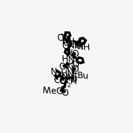 COC(=O)/C=C/CC[C@H](NC(=O)c1ccncc1C(=O)O)C(=O)N[C@H](C(=O)N1CC(=O)C[C@H]1C(=O)N[C@H](C(=O)N1CCC[C@@]1(C)C(=O)N[C@@H](Cc1c[nH]c2ccccc12)C(=O)N1CCC[C@@]1(C)C(N)=O)C1CCCCC1)C(C)(C)C